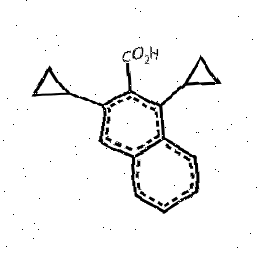 O=C(O)c1c(C2CC2)cc2ccccc2c1C1CC1